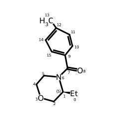 CC[C@H]1COCCN1C(=O)c1ccc(C)cc1